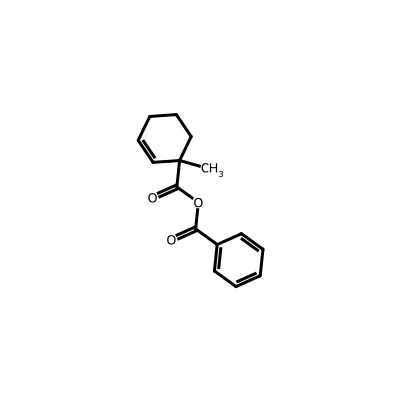 CC1(C(=O)OC(=O)c2ccccc2)C=CCCC1